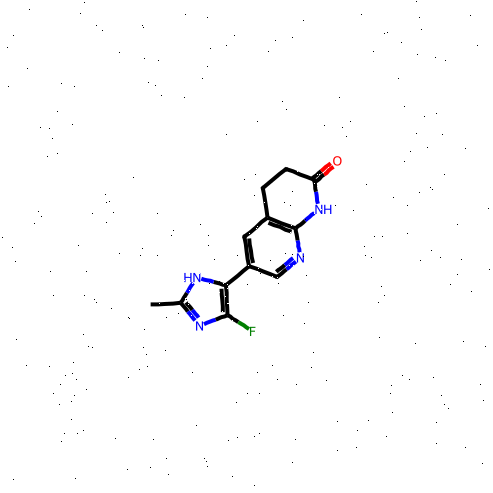 Cc1nc(F)c(-c2cnc3c(c2)CCC(=O)N3)[nH]1